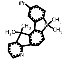 CC(C)c1ccc2c(c1)-c1c(ccc3c1C(C)(C)c1cccnc1-3)[Si]2(C)C